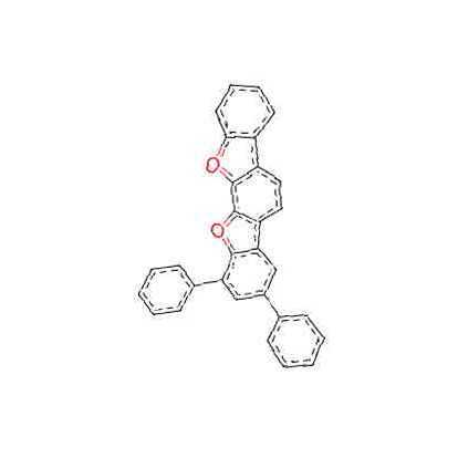 c1ccc(-c2cc(-c3ccccc3)c3oc4c(ccc5c6ccccc6oc54)c3c2)cc1